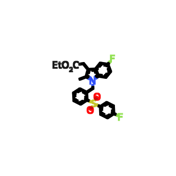 CCOC(=O)Cc1c(C)n(Cc2ccccc2S(=O)(=O)c2ccc(F)cc2)c2ccc(F)cc12